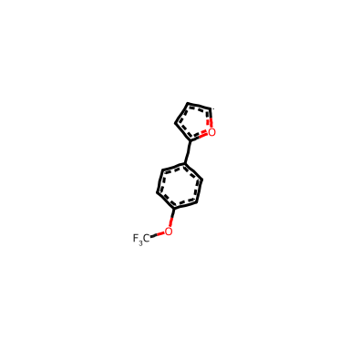 FC(F)(F)Oc1ccc(-c2cc[c]o2)cc1